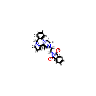 O=C1c2ccccc2C(=O)N1CCN1CCN2c3ccccc3Cn3cccc3[C@@H]2C1